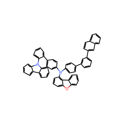 c1cc(-c2ccc(N(c3ccc(-c4ccccc4-n4c5ccccc5c5ccccc54)cc3)c3cccc4oc5ccccc5c34)cc2)cc(-c2ccc3ccccc3c2)c1